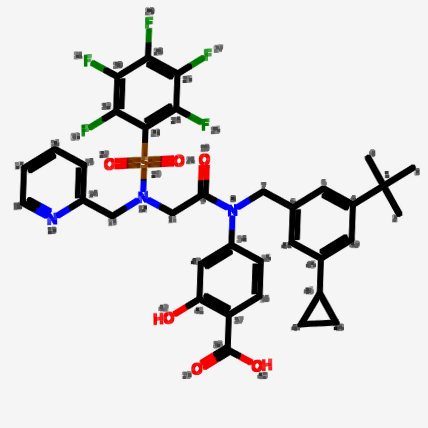 CC(C)(C)c1cc(CN(C(=O)CN(Cc2ccccn2)S(=O)(=O)c2c(F)c(F)c(F)c(F)c2F)c2ccc(C(=O)O)c(O)c2)cc(C2CC2)c1